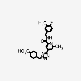 Cc1cc(-c2nnn(CC3CCC(C(=O)O)CC3)n2)cc(C(=O)NCc2ccc(F)c(C)c2)n1